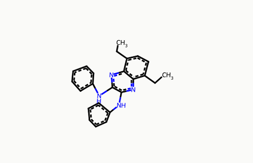 CCc1ccc(CC)c2nc(Nc3ccccc3)c(Nc3ccccc3)nc12